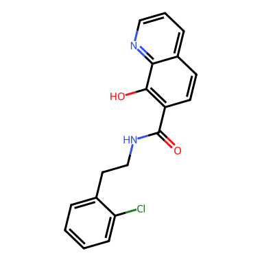 O=C(NCCc1ccccc1Cl)c1ccc2cccnc2c1O